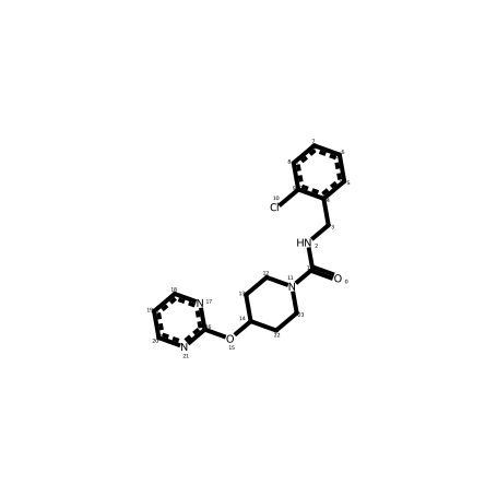 O=C(NCc1ccccc1Cl)N1CCC(Oc2ncccn2)CC1